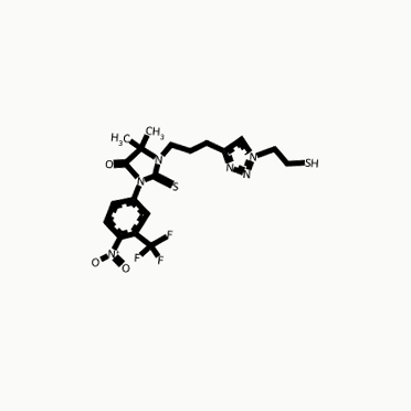 CC1(C)C(=O)N(c2ccc([N+](=O)[O-])c(C(F)(F)F)c2)C(=S)N1CCCc1cn(CCS)nn1